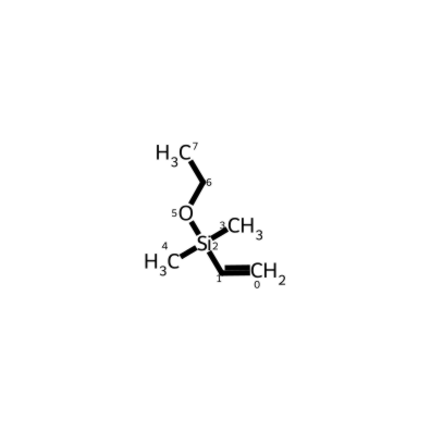 C=C[Si](C)(C)OCC